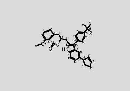 COc1cccc(CC(Cc2[nH]c3ccc(C4C=CCC4)cc3c2-c2ccc(C(C)(C)C)cc2)OC=O)c1